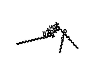 CCCCCCCCCCCCCCCCCCNCc1cc(C(C)(C)C)c(OCC(C)(C)c2cc(CCC(=O)N(CCSCCCCCCCC)CCSCCCCCCCC)cc(C(C)(C)C)c2O)c(C(C)(C)C)c1